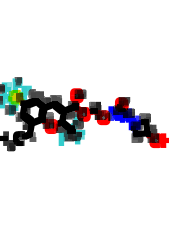 CCc1cc(S(F)(F)(F)(F)F)cc2c1OC(C(F)(F)F)C(C(=O)OCOn1on1N1CC(O)C1)=C2